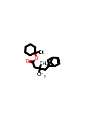 CCC1(OC(=O)CC(C)(C)CC2CC3C=CC2C3)CCCCC1